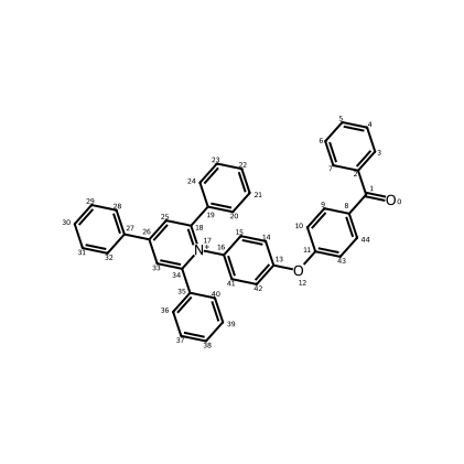 O=C(c1ccccc1)c1ccc(Oc2ccc(-[n+]3c(-c4ccccc4)cc(-c4ccccc4)cc3-c3ccccc3)cc2)cc1